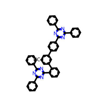 N#Cc1cc(-c2ccc(-c3nc(-c4ccccc4)nc(-c4ccccc4)n3)cc2)cc(-c2ccccc2-c2nc(-c3ccccc3)nc(-c3ccccc3)n2)c1